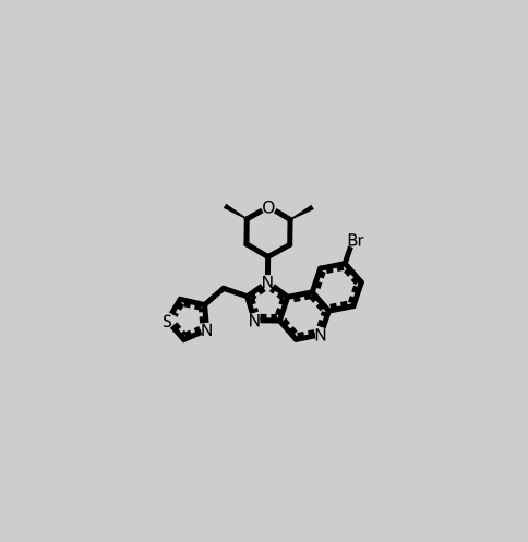 C[C@@H]1CC(n2c(Cc3cscn3)nc3cnc4ccc(Br)cc4c32)C[C@H](C)O1